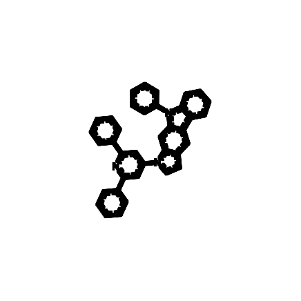 c1ccc(-c2cc(-n3ccc4cc5c6ccccc6n(-c6ccccc6)c5cc43)cc(-c3ccccc3)n2)cc1